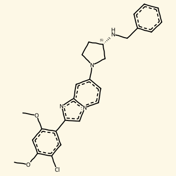 COc1cc(OC)c(-c2cn3ccc(N4CC[C@H](NCc5ccccc5)C4)cc3n2)cc1Cl